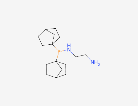 NCCNP(C12CCC(CC1)C2)C12CCC(CC1)C2